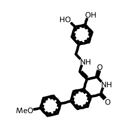 COc1ccc(-c2ccc3c(c2)C(=CNCc2ccc(O)c(O)c2)C(=O)NC3=O)cc1